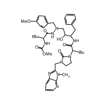 CCC(C)C(C(=O)NC(Cc1ccccc1)C(O)CN(Cc1ccc(OC)cc1)NC(=O)C(NC(=O)OC)C(C)(C)C)N1CCN(Cc2nc3cccnc3n2C)C1=O